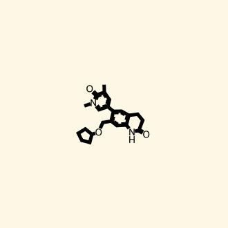 Cc1cc(-c2cc3c(cc2COC2CCCC2)NC(=O)CC3)cn(C)c1=O